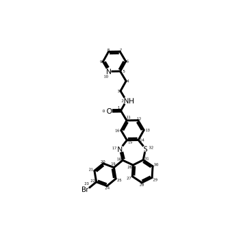 O=C(NCCc1ccccn1)c1ccc2c(c1)N=C(c1ccc(Br)cc1)c1ccccc1S2